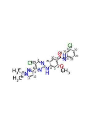 COc1cc(Nc2ncc(Cl)c(-c3ccn(C(C)C)n3)n2)ccc1C(=O)Nc1cccc(Cl)c1